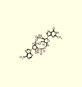 Cc1nc2c(ncn2[C@@H]2O[C@@H]3CO[P@@](=O)(S)O[C@@H]4[C@@H](CO[P@](=O)(S)O[C@@H]2[C@@H]3CO)C[C@@H](n2cnc3c(N)ncnc32)[C@@H]4O)c(=O)[nH]1